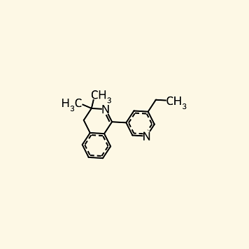 CCc1cncc(C2=NC(C)(C)Cc3ccccc32)c1